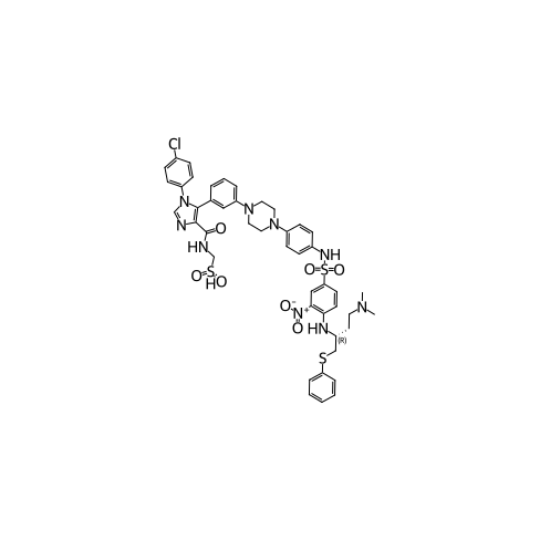 CN(C)CC[C@H](CSc1ccccc1)Nc1ccc(S(=O)(=O)Nc2ccc(N3CCN(c4cccc(-c5c(C(=O)NC[SH](=O)=O)ncn5-c5ccc(Cl)cc5)c4)CC3)cc2)cc1[N+](=O)[O-]